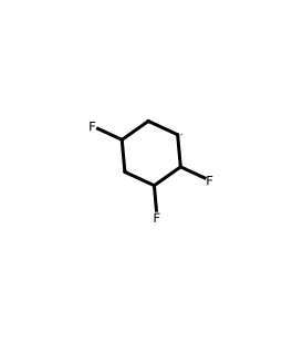 FC1C[CH]C(F)C(F)C1